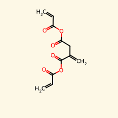 C=CC(=O)OC(=O)CC(=C)C(=O)OC(=O)C=C